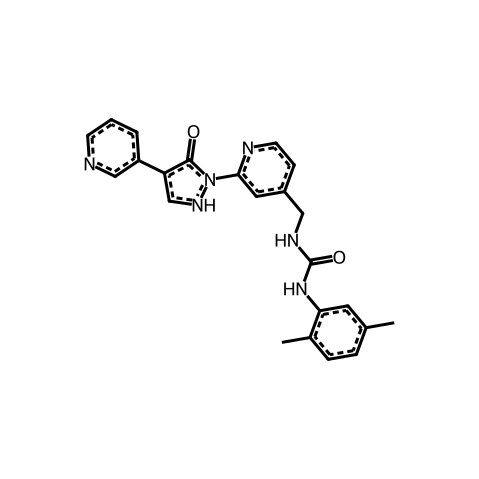 Cc1ccc(C)c(NC(=O)NCc2ccnc(-n3[nH]cc(-c4cccnc4)c3=O)c2)c1